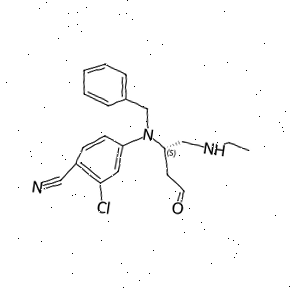 CCNC[C@H](CC=O)N(Cc1ccccc1)c1ccc(C#N)c(Cl)c1